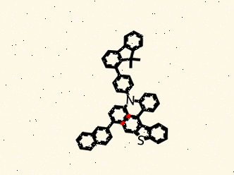 CC1(C)c2ccccc2-c2cccc(-c3ccc(N(c4ccc(-c5ccc6ccccc6c5)cc4)c4ccccc4-c4cccc5sc6ccccc6c45)cc3)c21